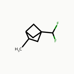 CC1CC2(C(F)F)CC1C2